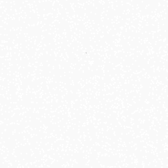 O=C(O)CN(C(=O)CCCOc1ccccc1CS)c1ccccc1